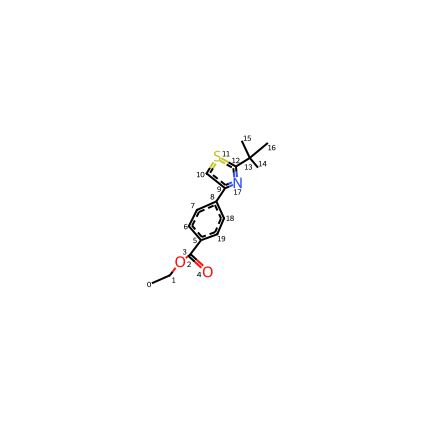 CCOC(=O)c1ccc(-c2csc(C(C)(C)C)n2)cc1